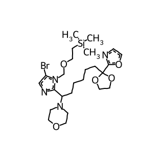 C[Si](C)(C)CCOCn1c(Br)cnc1C(CCCCCC1(c2ncco2)OCCO1)N1CCOCC1